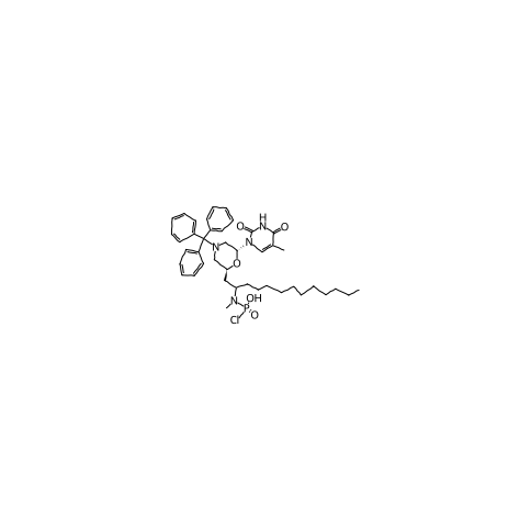 CCCCCCCCCCCC(C[C@H]1CN(C(c2ccccc2)(c2ccccc2)c2ccccc2)C[C@H](n2cc(C)c(=O)[nH]c2=O)O1)N(C)P(=O)(O)Cl